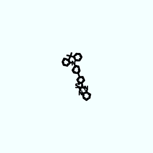 CC1(C)c2ccccc2N(c2ccc(-c3ccc4c(c3)sc3nc5ccccc5nc34)cc2)c2ccccc21